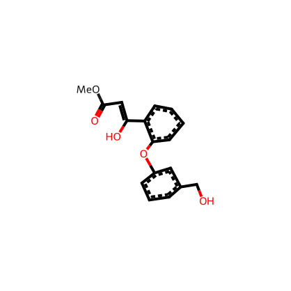 COC(=O)C=C(O)c1ccccc1Oc1cccc(CO)c1